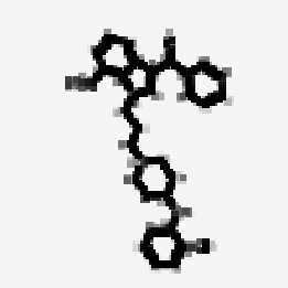 COc1cccc2c(C(=O)c3ccccc3)cn(CCCN3CCC(Oc4ccccc4Cl)CC3)c12